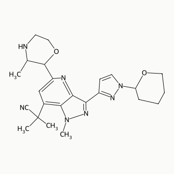 CC1NCCOC1c1cc(C(C)(C)C#N)c2c(n1)c(-c1ccn(C3CCCCO3)n1)nn2C